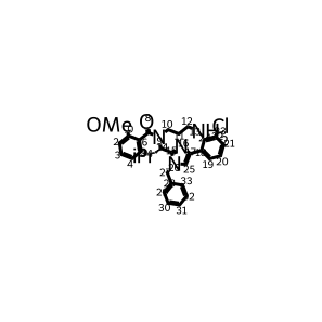 COc1ccccc1C(=O)N(CCCN)[C@@H](c1nc(-c2cccc(Cl)c2)cn1Cc1ccccc1)C(C)C